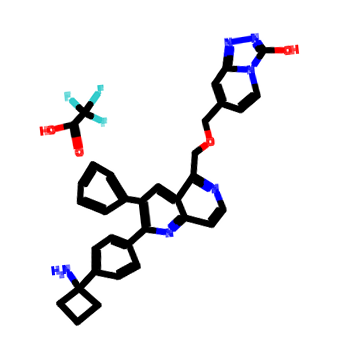 NC1(c2ccc(-c3nc4ccnc(COCc5ccn6c(O)nnc6c5)c4cc3-c3ccccc3)cc2)CCC1.O=C(O)C(F)(F)F